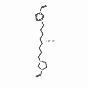 Br.C=CN1CCN(CCCCCCCC[n+]2ccn(C=C)c2)C1.[Br-]